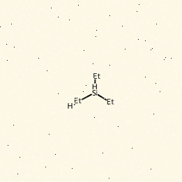 CC[SiH](CC)CC.[H+]